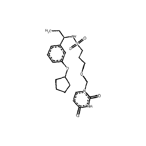 CCC(NS(=O)(=O)CCCOCn1ccc(=O)[nH]c1=O)c1cccc(OC2CCCC2)c1